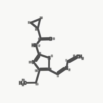 C=C/N=C\c1sc(NC(=O)C2CC2)nc1CC